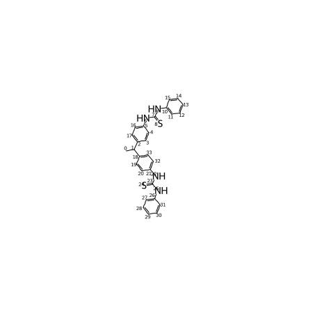 CC(c1ccc(NC(=S)Nc2ccccc2)cc1)c1ccc(NC(=S)Nc2ccccc2)cc1